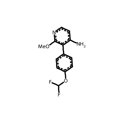 COc1nccc(N)c1-c1ccc(OC(F)F)cc1